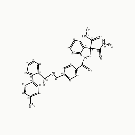 CCNC(=O)C(COC(=O)c1ccc(CNC(=O)c2ccccc2-c2ccc(C(F)(F)F)cc2)cc1)(C(=O)NCC)c1ccccc1